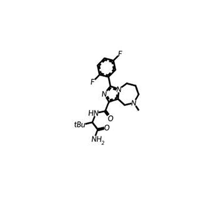 CN1CCCn2c(-c3cc(F)ccc3F)nc(C(=O)NC(C(N)=O)C(C)(C)C)c2C1